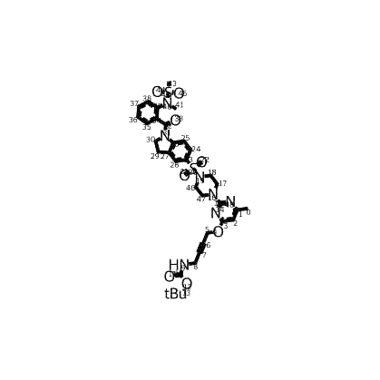 Cc1cc(OCC#CCNC(=O)OC(C)(C)C)nc(N2CCN(S(=O)(=O)c3ccc4c(c3)CCN4C(=O)c3ccccc3N(C)S(C)(=O)=O)CC2)n1